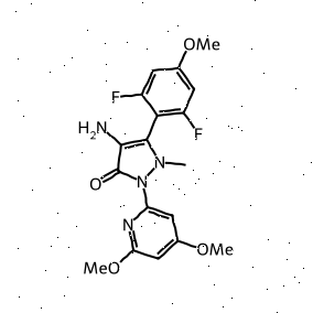 COc1cc(OC)nc(-n2c(=O)c(N)c(-c3c(F)cc(OC)cc3F)n2C)c1